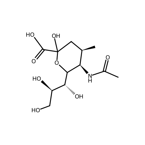 CC(=O)N[C@H]1C([C@H](O)[C@H](O)CO)OC(O)(C(=O)O)C[C@H]1C